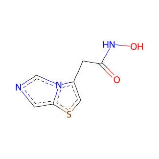 O=C(Cc1csc2cncn12)NO